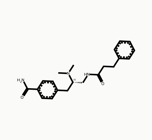 CN(C)[C@H](CNC(=O)CCc1ccccc1)Cc1ccc(C(N)=O)cc1